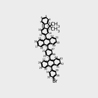 CC1(C)c2ccccc2-c2ccc(-c3c4ccccc4c(-c4ccc(-c5c6ccccc6c(-c6ccc(Br)cc6)c6ccccc56)cc4)c4ccccc34)cc21